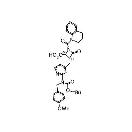 COc1ccc(CN(C(=O)OC(C)(C)C)c2cc(C[C@H]3C(=O)N(C(=O)N4CCCc5ccccc54)[C@@H]3C(=O)O)ccn2)cc1